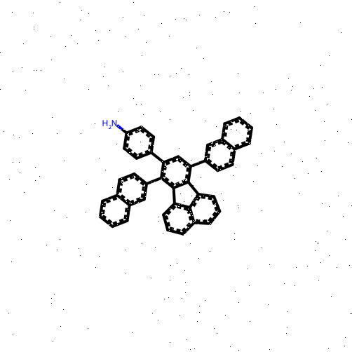 Nc1ccc(-c2cc(-c3ccc4ccccc4c3)c3c(c2-c2ccc4ccccc4c2)-c2cccc4cccc-3c24)cc1